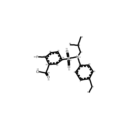 CCc1ccc(N(CC(C)C)S(=O)(=O)c2ccc(F)c(C(=O)Cl)c2)cc1